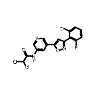 O=C(Nc1cncc(-c2cc(-c3c(F)cccc3Cl)no2)c1)C(Cl)Cl